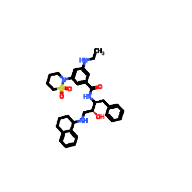 CCNc1cc(C(=O)N[C@@H](Cc2ccccc2)[C@H](O)CNC2CCCc3ccccc32)cc(N2CCCCS2(=O)=O)c1